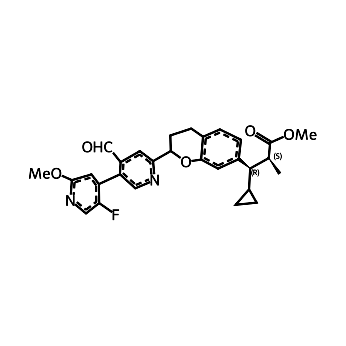 COC(=O)[C@@H](C)[C@H](c1ccc2c(c1)OC(c1cc(C=O)c(-c3cc(OC)ncc3F)cn1)CC2)C1CC1